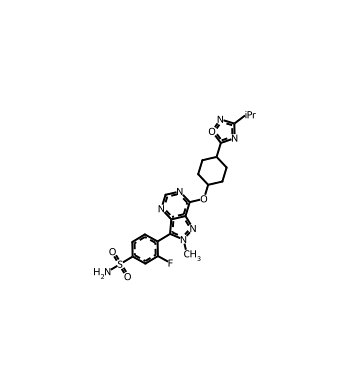 CC(C)c1noc(C2CCC(Oc3ncnc4c(-c5ccc(S(N)(=O)=O)cc5F)n(C)nc34)CC2)n1